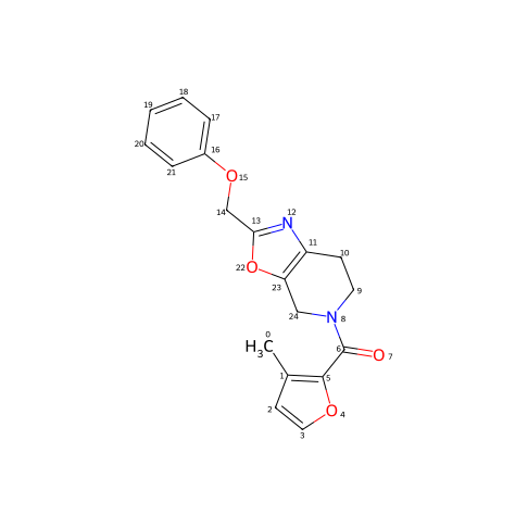 Cc1ccoc1C(=O)N1CCc2nc(COc3ccccc3)oc2C1